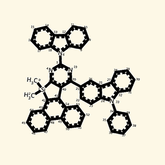 C[Si]1(C)c2nc(-n3c4ccccc4c4ccccc43)nc(-c3ccc4c(c3)c3ccccc3n4-c3ccccc3)c2-c2c1c1ccccc1c1ccccc21